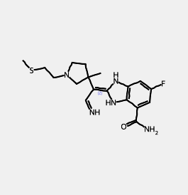 CSCCN1CCC(C)(/C(C=N)=C2\Nc3cc(F)cc(C(N)=O)c3N2)C1